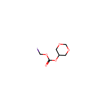 O=C(OCI)OC1COCOC1